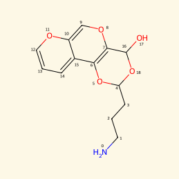 NCCCC1OC2=C(OC=C3OC=CC=C32)C(O)O1